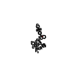 CC(C)(O)c1cnnn1[C@H]1C[C@@H](C(=O)NC2(C(=O)C(N)=O)CCSCC2)N(C(=O)/C(CC2CCCCC2)=N/C(=O)c2ccc(S(=O)(=O)N3CCOCC3)cc2)C1